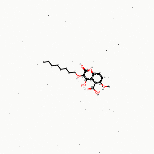 CCCCCCCCOc1c(O)c2c(C(=O)O)c(OC)ccc2oc1=O